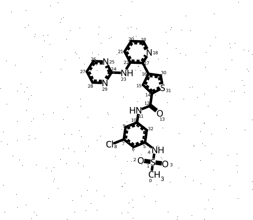 CS(=O)(=O)Nc1cc(Cl)cc(NC(=O)c2cc(-c3ncccc3Nc3ncccn3)cs2)c1